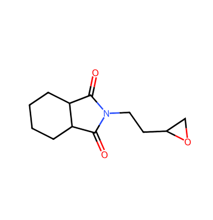 O=C1C2CCCCC2C(=O)N1CCC1CO1